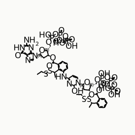 CCSSC(C)c1ccccc1C(=O)OC1C[C@H](N2C=CC(Nc3cccc(C(=O)OC4C[C@H](n5cnc6c(=O)[nH]c(N)nc65)O[C@@H]4COP(=O)(O)OP(=O)(O)OP(=O)(O)O)c3C(C)SSCC)=NC2O)O[C@@H]1COP(=O)(O)OP(=O)(O)OP(=O)(O)O